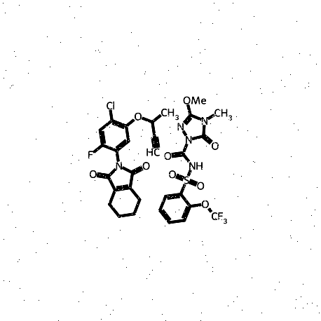 C#CC(C)Oc1cc(N2C(=O)C3=C(CCCC3)C2=O)c(F)cc1Cl.COc1nn(C(=O)NS(=O)(=O)c2ccccc2OC(F)(F)F)c(=O)n1C